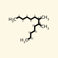 CCCCCCC(C)[C](C)CCCCC